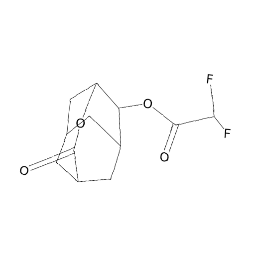 O=C(OC1C2CC3CC(C2)C(=O)OC1C3)C(F)F